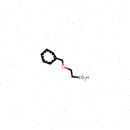 O=C(O)CCOCc1ccccc1